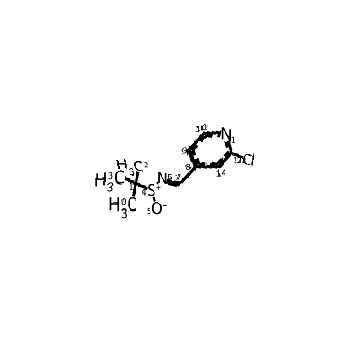 CC(C)(C)[S+]([O-])N=Cc1ccnc(Cl)c1